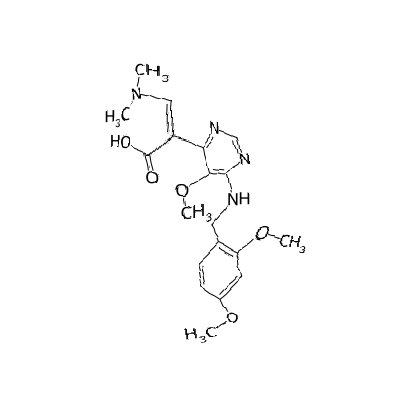 COc1ccc(CNc2ncnc(C(=CN(C)C)C(=O)O)c2OC)c(OC)c1